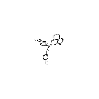 Cl.Clc1ccc(CO[C@H]([C@H]2Cc3cccc4c3[C@H](CCC4)C2)n2ccnc2)cc1